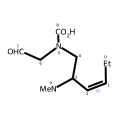 CC/C=C\C(CN(CC=O)C(=O)O)NC